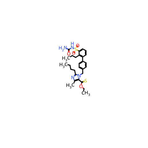 CCCCc1nc(C)c(C(=S)OCC)n1Cc1ccc(-c2cccc(S(=O)(=O)NC(N)=O)c2CCC)cc1